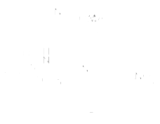 COc1ncccc1-c1c(C(=O)NS(=O)(=O)C2CC2)n(Cc2cc([N+](=O)[O-])ccc2F)c2cc(F)c3ccccc3c12